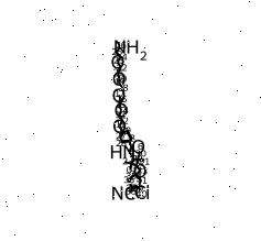 CC1(C)C(NC(=O)c2ccc(OCCOCCOCCOCCOCCN)cc2)C(C)(C)C1Oc1ccc(C#N)c(Cl)c1